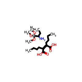 CCC(N)[Si](OC)(OC)OC.CCCC/C(C(=O)O)=C(\CCCC)C(=O)O